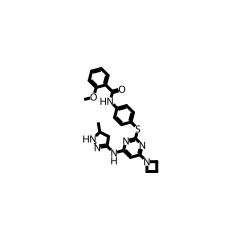 COc1ccccc1C(=O)Nc1ccc(Sc2nc(NC3=NNC(C)C3)cc(N3CCC3)n2)cc1